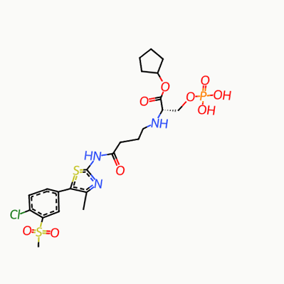 Cc1nc(NC(=O)CCCN[C@@H](COP(=O)(O)O)C(=O)OC2CCCC2)sc1-c1ccc(Cl)c(S(C)(=O)=O)c1